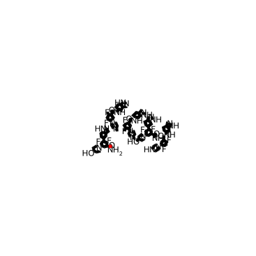 CN1CCN(c2cc(C(=O)Nc3ccc4[nH]ncc4c3)c(F)cc2F)CC1.CN1CCN(c2cc(C(=O)Nc3ccc4cn[nH]c4c3)c(F)cc2F)CC1.NC(=O)c1cc(N2CCC(O)CC2)c(F)c(-c2ccc3[nH]ncc3c2)c1F.NC(=O)c1cc(N2CCC(O)CC2)c(F)c(-c2ccc3cn[nH]c3c2)c1F.O=C(Nc1ccc2cn[nH]c2c1)c1cc(N2CCNCC2)c(F)cc1F